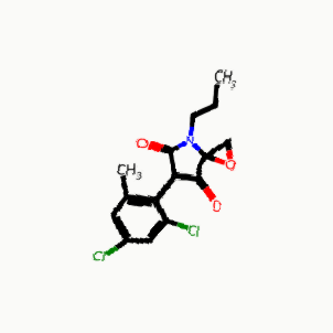 CCCN1C(=O)C(c2c(C)cc(Cl)cc2Cl)C(=O)C12CO2